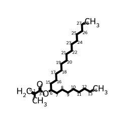 C=C(C)C(=O)OC(CCCCCCCC)CCCCCCCCCCCCCC